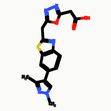 Cc1nn(C)cc1-c1ccc2nc(Cc3nnc(CC(=O)O)o3)sc2c1